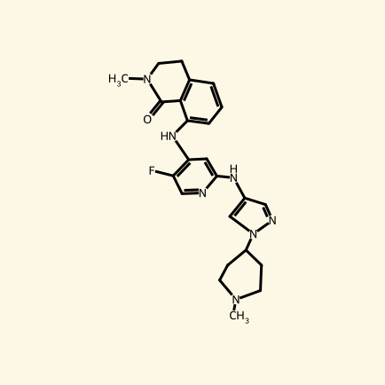 CN1CCC(n2cc(Nc3cc(Nc4cccc5c4C(=O)N(C)CC5)c(F)cn3)cn2)CC1